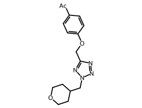 CC(=O)c1ccc(OCc2nnn(CC3CCOCC3)n2)cc1